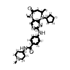 CC1CC(=O)N(C)c2cnc(Nc3ccc(C(=O)NC4CCN(C)CC4)cc3)nc2N1C1CCCC1